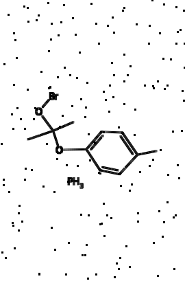 Cc1ccc(OC(C)(C)OBr)cc1.P